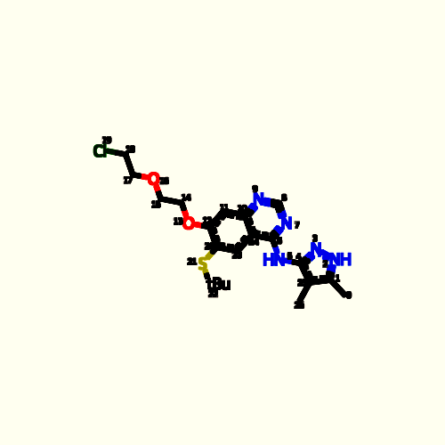 Cc1[nH]nc(Nc2ncnc3cc(OCCOCCCl)c(SC(C)(C)C)cc23)c1C